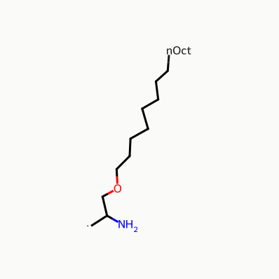 [CH2]C(N)COCCCCCCCCCCCCCCCC